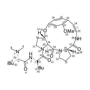 CC[C@H](C)[C@H](NC(=O)[C@H]([C@@H](C)CC)N(C)C)C(=O)N1CC[C@@H]2Oc3ccc(c(OC)c3)/C=C\NC(=O)[C@@H]3CCCN3C(=O)[C@H]21